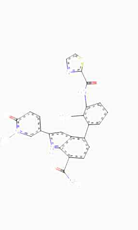 Cc1c(NC(=O)c2nccs2)cccc1-c1ccc(C(N)=O)c2[nH]c(-c3ccc(=O)n(C)c3)cc12